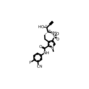 C#C[C@H](O)[C@H]1CCc2c(cn(C)c2C(=O)Nc2ccc(F)c(C#N)c2)S(=O)(=O)N1